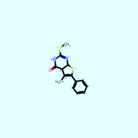 CSC1=NC2SC(c3ccccc3)=C(C)C2C(=O)N1